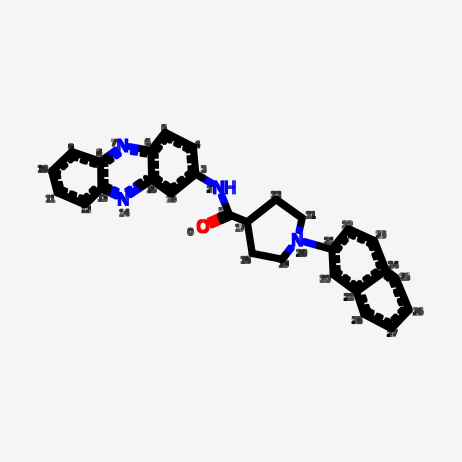 O=C(Nc1ccc2nc3ccccc3nc2c1)C1CCN(c2ccc3ccccc3c2)CC1